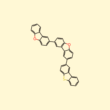 c1ccc2c(c1)oc1ccc(-c3ccc4oc5ccc(-c6ccc7sc8ccccc8c7c6)cc5c4c3)cc12